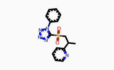 CC(CS(=O)(=O)c1nnnn1-c1ccccc1)c1ccccn1